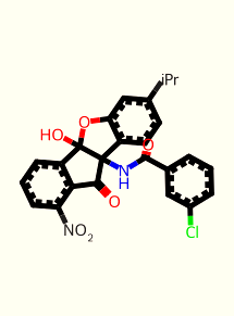 CC(C)c1ccc2c(c1)OC1(O)c3cccc([N+](=O)[O-])c3C(=O)C21NC(=O)c1cccc(Cl)c1